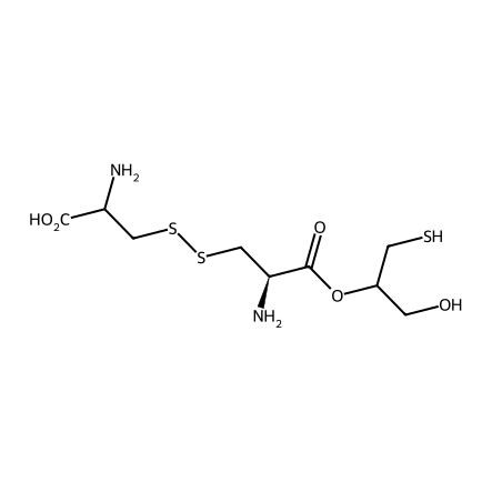 NC(CSSC[C@H](N)C(=O)OC(CO)CS)C(=O)O